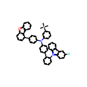 C[Si](C)(C)c1cccc(N(c2ccc(-c3ccccc3-n3c4ccccc4c4cc(F)ccc43)cc2)c2ccc(-c3cccc4oc5ccccc5c34)cc2)c1